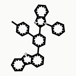 Cc1ccc(-c2cc(-c3cccc4c3oc3ccccc34)ccc2-c2nc3ccccc3n2-c2ccccc2)cc1